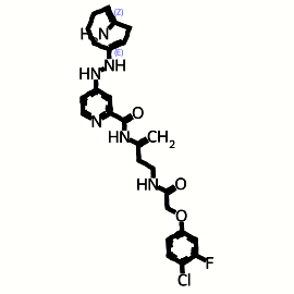 C=C(CCNC(=O)COc1ccc(Cl)c(F)c1)NC(=O)c1cc(NN/C2=C/C/C(N)=C/CCC2)ccn1